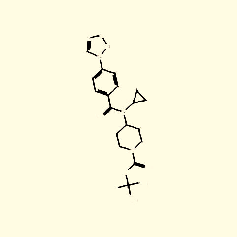 CC(C)(C)OC(=O)N1CCC(N(C(=O)c2ccc(N3C=NNN3)cc2)C2CC2)CC1